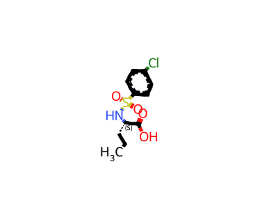 CCC[C@H](NS(=O)(=O)c1ccc(Cl)cc1)C(=O)O